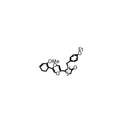 CCOc1ccc(CN2C(=O)CSC2C2=COC(C3=C(OC)C=CCC3)=CO2)cc1